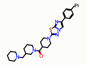 CC(C)c1ccc(-c2cn3nc(N4CCC(C(=O)N5CCCC(CN6CCCCC6)C5)CC4)sc3n2)cc1